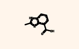 Cc1nc2c(C(=O)O)cccc2[nH]1